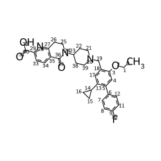 CCOc1cc(-c2ccc(F)cc2)c(C2CC2)cc1CN1CCC(N2CCc3nc(C(=O)O)ccc3C2=O)CC1